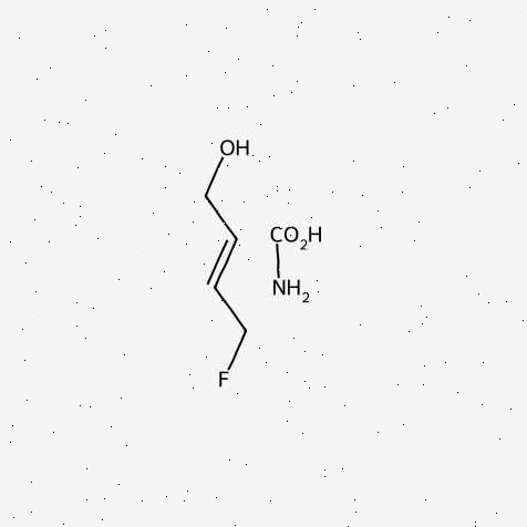 NC(=O)O.OCC=CCF